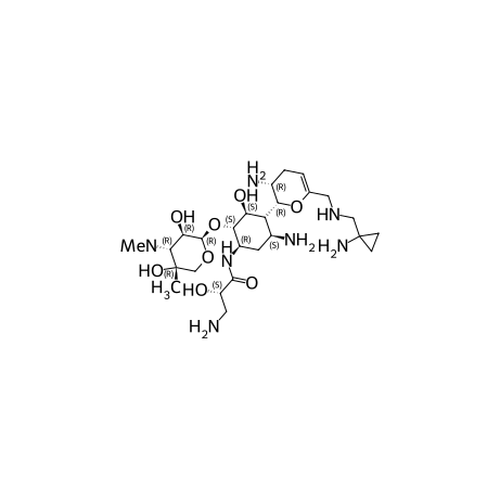 CN[C@@H]1[C@@H](O)[C@@H](O[C@H]2[C@H](NC(=O)[C@@H](O)CN)C[C@H](N)C([C@H]3OC(CNCC4(N)CC4)=CC[C@H]3N)[C@@H]2O)OC[C@]1(C)O